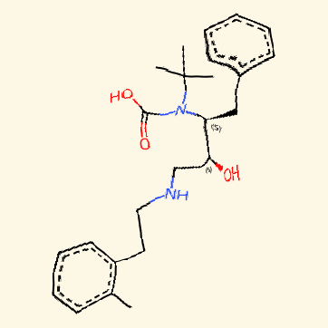 Cc1ccccc1CCNC[C@H](O)[C@H](Cc1ccccc1)N(C(=O)O)C(C)(C)C